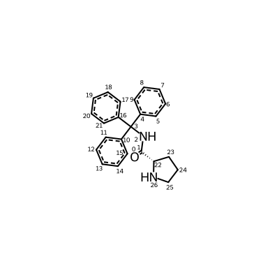 O=C(NC(c1ccccc1)(c1ccccc1)c1ccccc1)[C@@H]1CCCN1